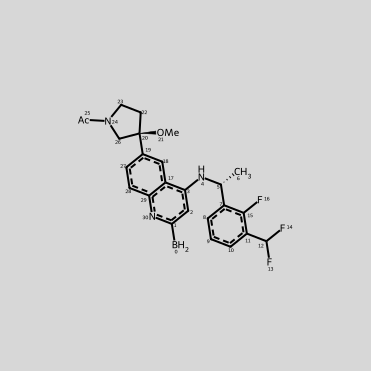 Bc1cc(N[C@H](C)c2cccc(C(F)F)c2F)c2cc([C@@]3(OC)CCN(C(C)=O)C3)ccc2n1